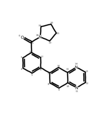 O=C(c1cccc(-c2ccc3nccnc3c2)c1)N1CCCC1